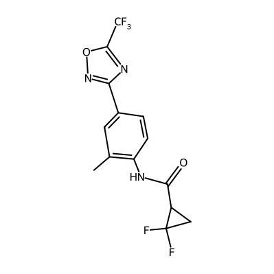 Cc1cc(-c2noc(C(F)(F)F)n2)ccc1NC(=O)C1CC1(F)F